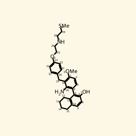 COc1ccc(-c2c(O)ccc3c2CCCC3)c(N)c1Cc1ccc(OCCNCCSC)cc1